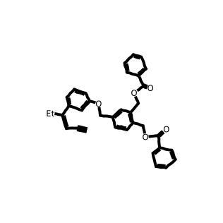 C#C/C=C(/CC)c1cccc(OCc2ccc(COC(=O)c3ccccc3)c(COC(=O)c3ccccc3)c2)c1